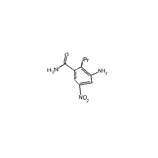 CC(C)c1c(N)cc([N+](=O)[O-])cc1C(N)=O